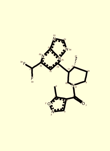 Cc1oncc1C(=O)N1CC[C@@H](C)C(c2cc(C(F)F)nc3ncnn23)C1